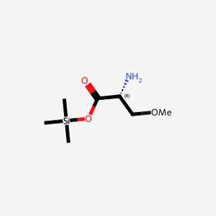 COC[C@@H](N)C(=O)O[Si](C)(C)C